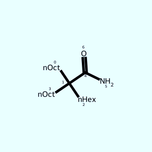 CCCCCCCCC(CCCCCC)(CCCCCCCC)C(N)=O